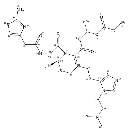 CCCC(OC(=O)CC(C)C)OC(=O)C1=C(CSc2nnnn2CCN(C)C)CS[C@@H]2[C@H](NC(=O)Cc3csc(N)n3)C(=O)N12